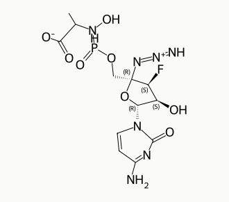 CC(C(=O)[O-])N(O)[PH](=O)OC[C@@]1(N=[N+]=N)O[C@@H](n2ccc(N)nc2=O)[C@H](O)[C@@H]1F